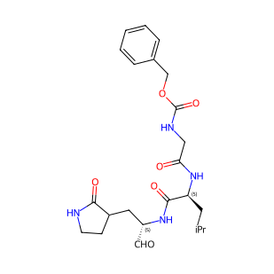 CC(C)C[C@H](NC(=O)CNC(=O)OCc1ccccc1)C(=O)N[C@H](C=O)CC1CCNC1=O